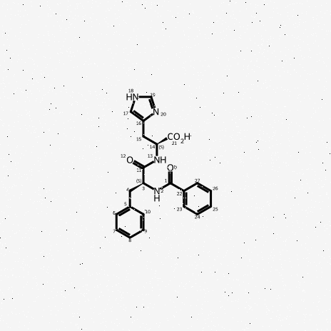 O=C(N[C@@H](Cc1ccccc1)C(=O)N[C@@H](Cc1c[nH]cn1)C(=O)O)c1ccccc1